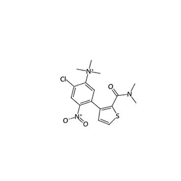 CN(C)C(=O)c1sccc1-c1cc([N+](C)(C)C)c(Cl)cc1[N+](=O)[O-]